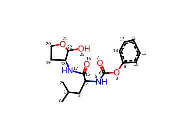 CC(C)CC(NC(=O)Oc1ccccc1)C(=O)N[C@H]1CCOC1O